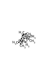 CCCN(C[Si](OCC)(OCC)OCC)C[Si](OCC)(OCC)OCC